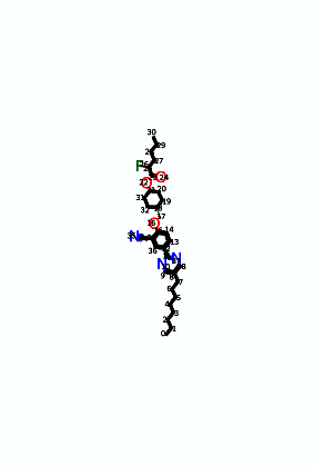 CCCCCCCCc1cnc(-c2ccc(OC[C@H]3CC[C@H](OC(=O)[C@@H](F)CCCC)CC3)c(C#N)c2)nc1